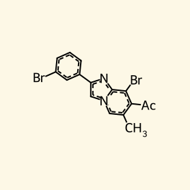 CC(=O)c1c(C)cn2cc(-c3cccc(Br)c3)nc2c1Br